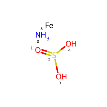 N.O=S(O)O.[Fe]